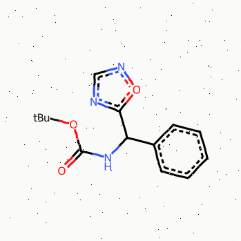 CC(C)(C)OC(=O)NC(c1ccccc1)c1n[c]no1